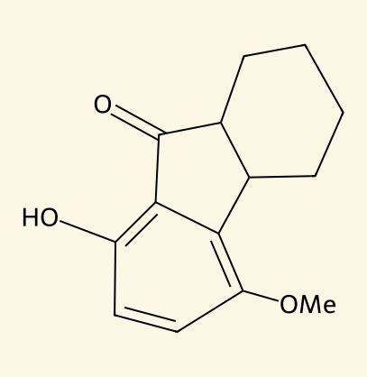 COc1ccc(O)c2c1C1CCCCC1C2=O